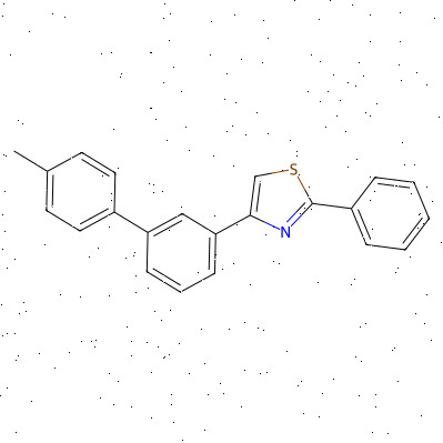 Cc1ccc(-c2cccc(-c3csc(-c4ccccc4)n3)c2)cc1